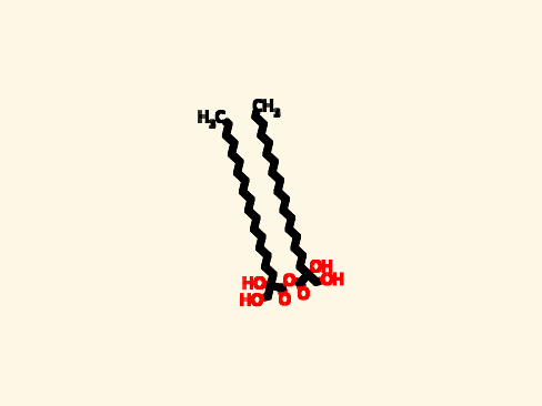 CCCCCCCCCCCCCCCCCCC(O)(CO)C(=O)OC(=O)C(O)(CO)CCCCCCCCCCCCCCCCCC